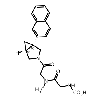 CN(CC(=O)N1C[C@H]2C[C@@]2(c2ccc3ccccc3c2)C1)C(=O)CNC(=O)O